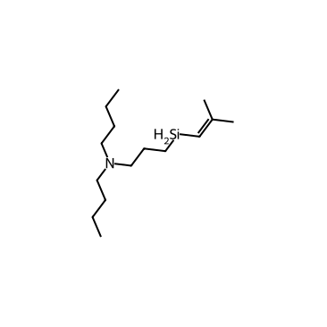 CCCCN(CCCC)CCC[SiH2]C=C(C)C